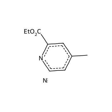 CCOC(=O)c1cc(C)ccn1.[N]